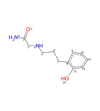 NC(=O)CNCCCc1ccccc1O